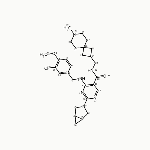 COc1ccc(CNc2nc(N3CC4CC4C3)ncc2C(=O)NCC2CC3(CCN(C)CC3)C2)cc1Cl